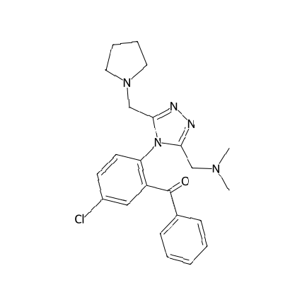 CN(C)Cc1nnc(CN2CCCC2)n1-c1ccc(Cl)cc1C(=O)c1ccccc1